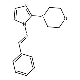 C(=N\n1ccnc1N1CCOCC1)/c1ccccc1